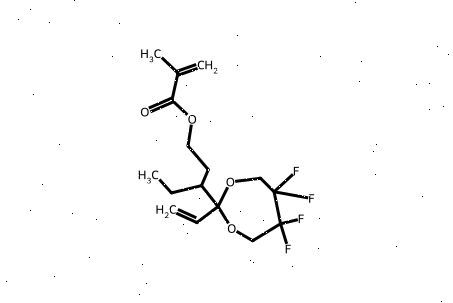 C=CC1(C(CC)CCOC(=O)C(=C)C)OCC(F)(F)C(F)(F)CO1